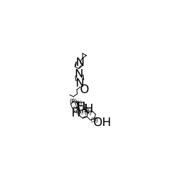 CC(CCC(=O)N1CCN(c2ccn(C3CC3)c2)CC1)[C@H]1CC[C@H]2[C@@H]3CC=C4C[C@@H](O)CC[C@]4(C)[C@H]3CC[C@]12C